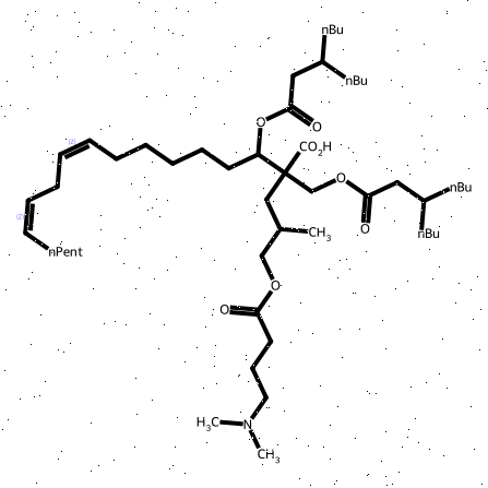 CCCCC/C=C\C/C=C\CCCCCC(OC(=O)CC(CCCC)CCCC)C(COC(=O)CC(CCCC)CCCC)(CC(C)COC(=O)CCCN(C)C)C(=O)O